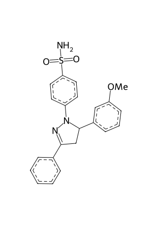 COc1cccc(C2CC(c3ccccc3)=NN2c2ccc(S(N)(=O)=O)cc2)c1